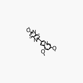 COc1cc(OC)c2cc(-c3nc4sc(OC)nc4s3)cn2c1